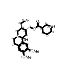 COc1cc2c(cc1OC)[C@H]1C[C@@H](COC(=O)C3CCCNC3)[C@H](CC(C)C)CN1CC2